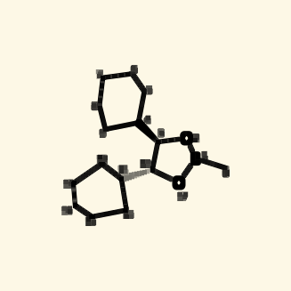 CB1O[C@H](C2CCCCC2)[C@@H](C2CCCCC2)O1